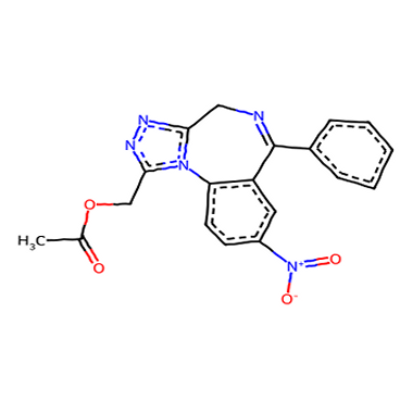 CC(=O)OCc1nnc2n1-c1ccc([N+](=O)[O-])cc1C(c1ccccc1)=NC2